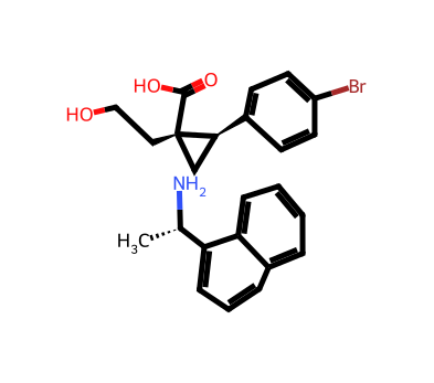 C[C@H](N)c1cccc2ccccc12.O=C(O)[C@@]1(CCO)C[C@@H]1c1ccc(Br)cc1